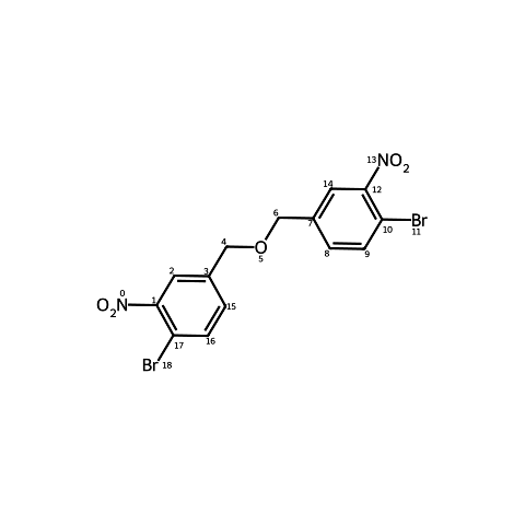 O=[N+]([O-])c1cc(COCc2ccc(Br)c([N+](=O)[O-])c2)ccc1Br